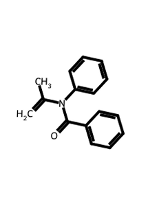 C=C(C)N(C(=O)c1ccccc1)c1ccccc1